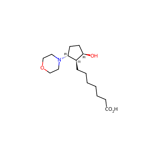 O=C(O)CCCCCC[C@@H]1[C@H](O)CC[C@H]1N1CCOCC1